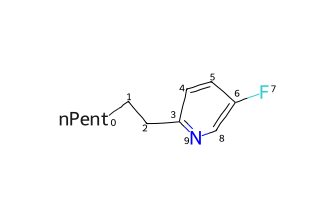 CCCCCCCc1ccc(F)cn1